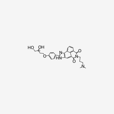 CN(C)CCCN1C(=O)c2cccc3c2c(cc2[nH]c(-c4ccc(OCC[C@H](O)CO)cc4)nc23)C1=O